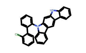 Clc1ccccc1-c1ccccc1-n1c2ccccc2c2cc3c(cc21)[nH]c1ccccc13